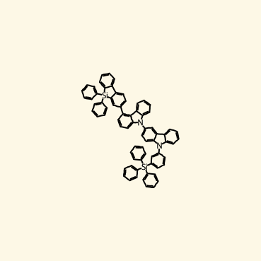 c1ccc([Si](c2ccccc2)(c2ccccc2)c2cccc(-n3c4ccccc4c4cc(-n5c6ccccc6c6c(-c7ccc8c(c7)[Si](c7ccccc7)(c7ccccc7)c7ccccc7-8)cccc65)ccc43)c2)cc1